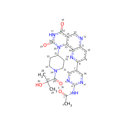 CC(=O)Nc1ncc(-c2ccc3ncc4c(=O)[nH]c(=O)n(C5CCN(C(=O)C(C)(C)O)CC5)c4c3n2)cn1